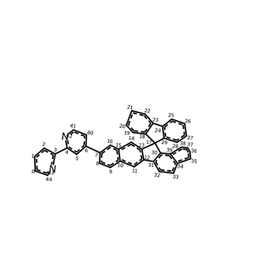 c1ccc(-c2cc(-c3ccc4cc5c(cc4c3)C3(c4ccccc4-c4ccccc43)c3c-5ccc4ccccc34)ccn2)nc1